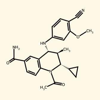 COc1cc(N[C@H]2c3cc(C(N)=O)ccc3N(C(C)=O)[C@@H](C3CC3)[C@@H]2C)ccc1C#N